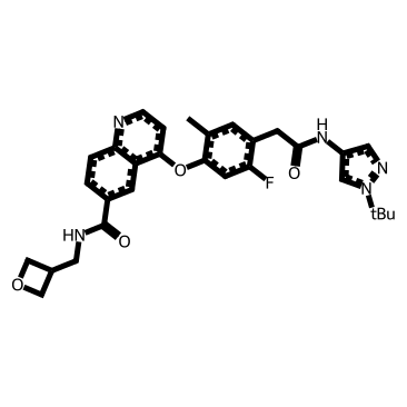 Cc1cc(CC(=O)Nc2cnn(C(C)(C)C)c2)c(F)cc1Oc1ccnc2ccc(C(=O)NCC3COC3)cc12